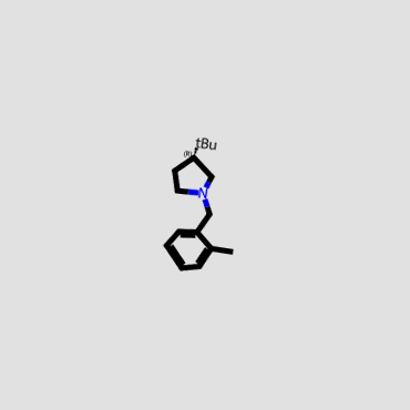 Cc1ccccc1CN1CC[C@H](C(C)(C)C)C1